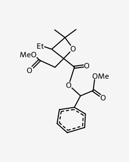 CCC1C(C)(C)OC1(CC(=O)OC)C(=O)OC(C(=O)OC)c1ccccc1